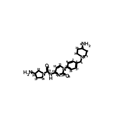 NC1CCN(Cc2ccc(-n3ccc(NC(=O)N4CCC(N)C4)nc3=O)cc2)CC1